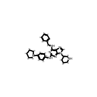 c1ccc(CNc2nc(Nc3ccc(N4CCCCC4)cc3)nc3c2ncn3C2CCCNC2)cc1